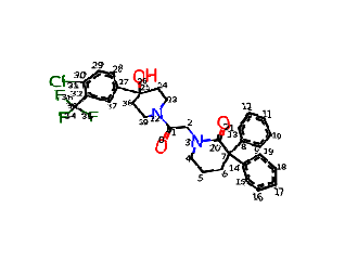 O=C(CN1CCCC(c2ccccc2)(c2ccccc2)C1=O)N1CCC(O)(c2ccc(Cl)c(C(F)(F)F)c2)CC1